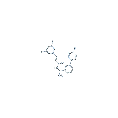 CC(NC(=O)C=Cc1cc(F)cc(F)c1)c1cccc(-c2ccc(Cl)nc2)c1